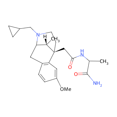 COc1ccc2c(c1)[C@@]1(CC(=O)NC(C)C(N)=O)CCN(CC3CC3)C(C2)[C@@H]1C